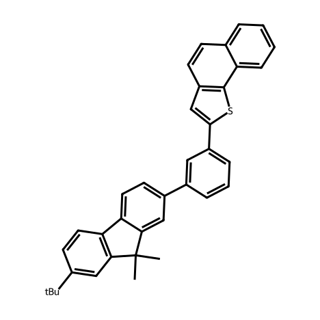 CC(C)(C)c1ccc2c(c1)C(C)(C)c1cc(-c3cccc(-c4cc5ccc6ccccc6c5s4)c3)ccc1-2